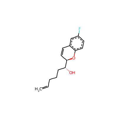 C=CCCC[C@@H](O)[C@H]1C=Cc2cc(F)ccc2O1